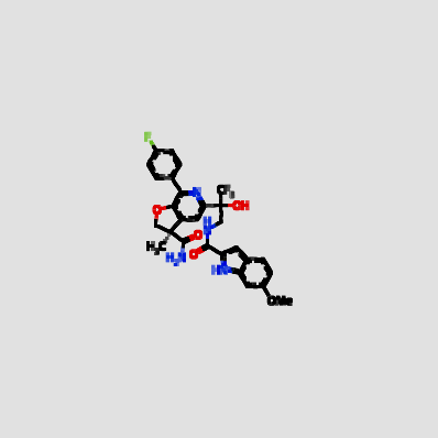 COc1ccc2cc(C(=O)NCC(O)(c3cc4c(c(-c5ccc(F)cc5)n3)OC[C@]4(C)C(N)=O)C(F)(F)F)[nH]c2c1